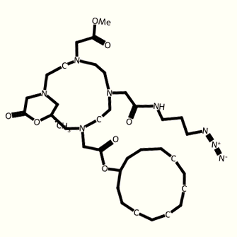 COC(=O)CN1CCN(CC(=O)NCCCN=[N+]=[N-])CCN(CC(=O)OC2CCCCCCCCCCCC2)C[C@]2(C)CN(CC1)CC(=O)O2